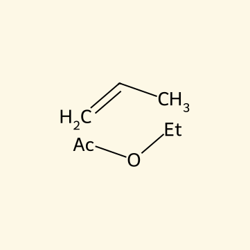 C=CC.CCOC(C)=O